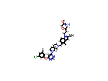 Cc1c(CN2CCC3(CCN(c4cc(Oc5cc(F)cc(Cl)c5)ncn4)C3)C2)ccc2c1cc(C#N)n2CCC1CNC(=O)CO1